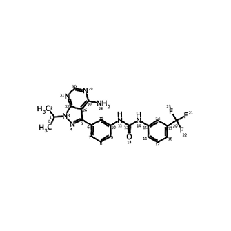 CC(C)n1nc(-c2cccc(NC(=O)Nc3cccc(C(F)(F)F)c3)c2)c2c(N)ncnc21